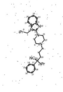 CC(C)Cn1c(N2CCN(CCC[C@@](C#N)(c3ccccc3)C(C)C)CC2)nc2ccccc21